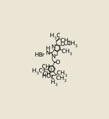 Br.CCOc1c(C=C(C)C)nc2c(c1C)CN(CC(=O)c1cc(C(C)(C)C)c(O)c(C(C)(C)C)c1)C2=N